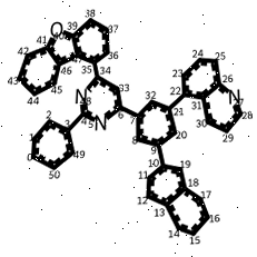 c1ccc(-c2nc(-c3cc(-c4ccc5ccccc5c4)cc(-c4cccc5ncccc45)c3)cc(-c3cccc4oc5ccccc5c34)n2)cc1